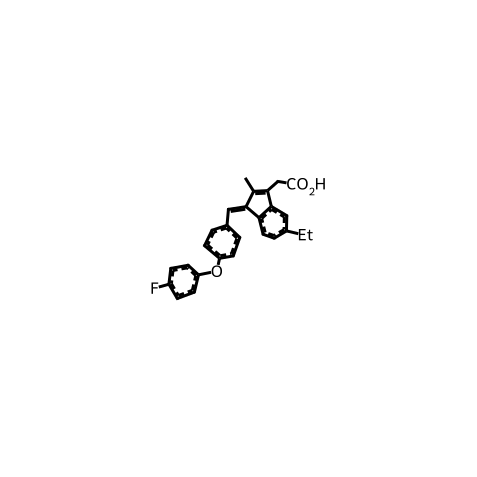 CCc1ccc2c(c1)C(CC(=O)O)=C(C)/C2=C/c1ccc(Oc2ccc(F)cc2)cc1